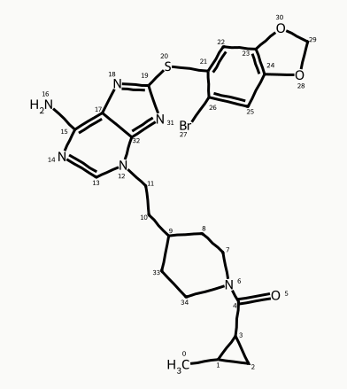 CC1CC1C(=O)N1CCC(CCn2cnc(N)c3nc(Sc4cc5c(cc4Br)OCO5)nc2-3)CC1